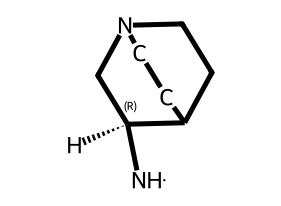 [NH][C@H]1CN2CCC1CC2